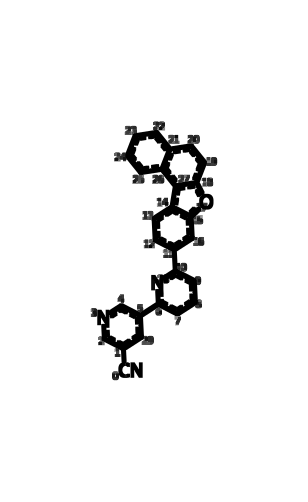 N#Cc1cncc(-c2cccc(-c3ccc4c(c3)oc3ccc5ccccc5c34)n2)c1